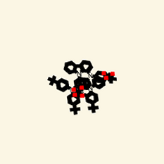 CC(C)(C)c1ccc(N(C2=CCC(C(C)(C)C)C=C2)c2cccc3c2N(c2cc4c5c(c2)N(c2ccc(C(C)(C)C)cc2)c2ccc(C(C)(C)C)cc2B5c2cc(C(C)(C)C)ccc2N4c2ccc(C(C)(C)C)cc2)C2C=CC=CC32)cc1